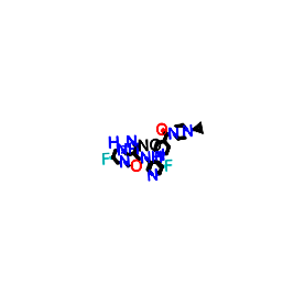 CN1CC(F)CNC1C(C(=O)Nc1cncc(F)c1N1CCC(C(=O)N2CCN(C3CC3)CC2)CC1)C(N)N=O